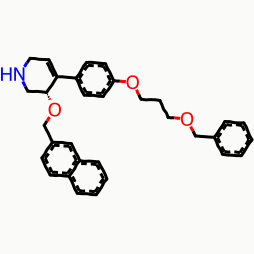 C1=C(c2ccc(OCCCOCc3ccccc3)cc2)[C@H](OCc2ccc3ccccc3c2)CNC1